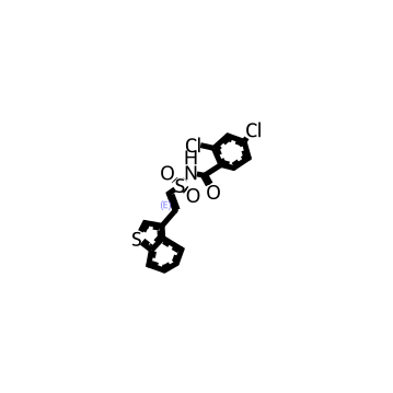 O=C(NS(=O)(=O)/C=C/c1csc2ccccc12)c1ccc(Cl)cc1Cl